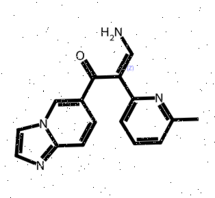 Cc1cccc(/C(=C/N)C(=O)c2ccc3nccn3c2)n1